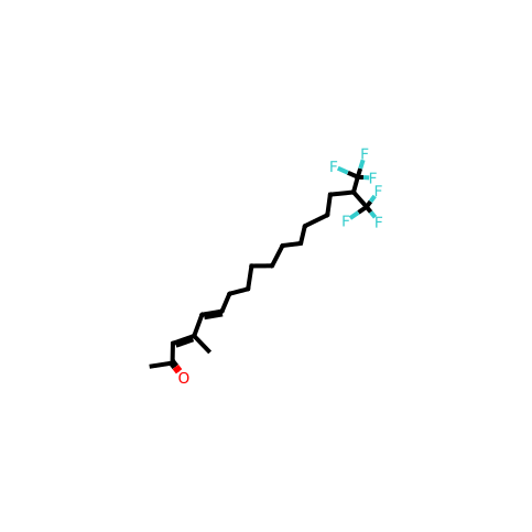 CC(=O)/C=C(C)/C=C/CCCCCCCCCC(C(F)(F)F)C(F)(F)F